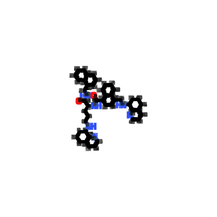 O=C(N[C@@H](CCCNC1CCCc2cccnc21)C(=O)NCc1cccc2ccccc12)c1ccc(CNC2CCCc3cccnc32)c2ccccc12